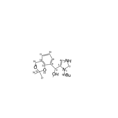 CCCCN1CNC=C1C(O)c1cccc2c1OC(C)(C)OC2